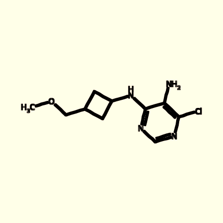 COCC1CC(Nc2ncnc(Cl)c2N)C1